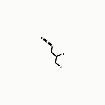 O=C=NCC(Cl)CCl